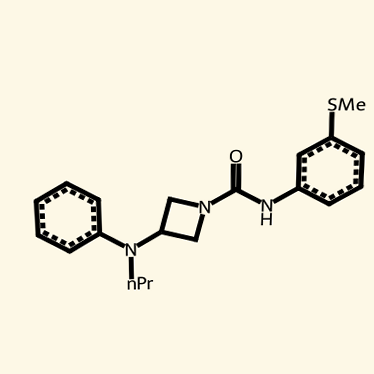 CCCN(c1ccccc1)C1CN(C(=O)Nc2cccc(SC)c2)C1